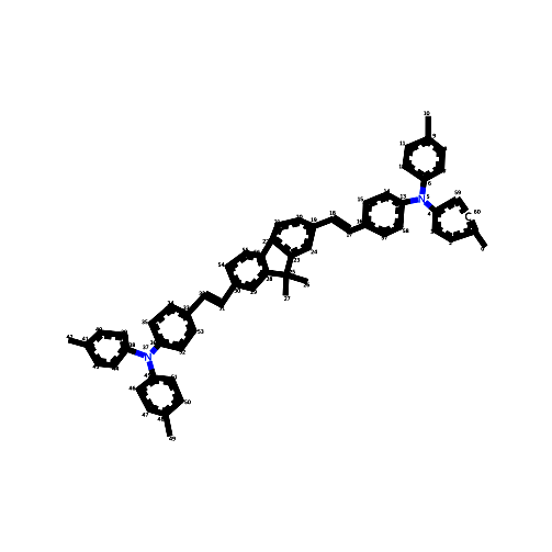 Cc1ccc(N(c2ccc(C)cc2)c2ccc(C=Cc3ccc4c(c3)C(C)(C)c3cc(C=Cc5ccc(N(c6ccc(C)cc6)c6ccc(C)cc6)cc5)ccc3-4)cc2)cc1